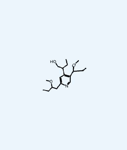 CCC(Cc1cc(C(CC)CO)c(C(CC)OC)cn1)OC